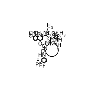 COc1ccc2c(O[C@@H]3C[C@H]4C(=O)N[C@]5(C(=O)NS(=O)(=O)N(C)C)C[C@H]5/C=C\CCCCC[C@H](Nc5ccc(F)c(C(F)(F)F)c5)C(=O)N4C3)cc(-c3nc(C)cs3)nc2c1C